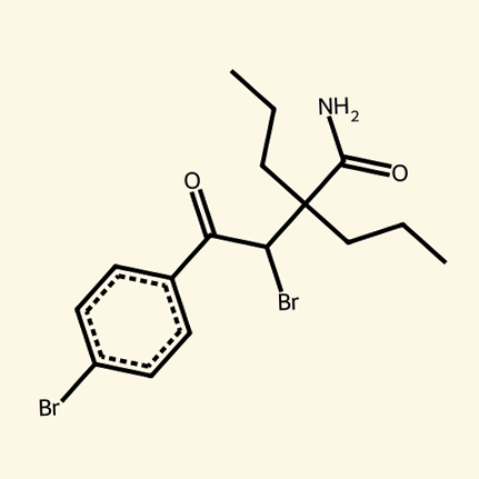 CCCC(CCC)(C(N)=O)C(Br)C(=O)c1ccc(Br)cc1